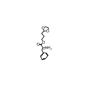 N[C@@H](Cc1ccccc1)C(=O)OCCCC1OCCO1